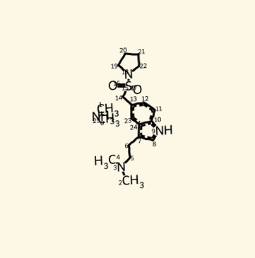 CC.CN(C)CCc1c[nH]c2ccc(CS(=O)(=O)N3CCCC3)cc12.N